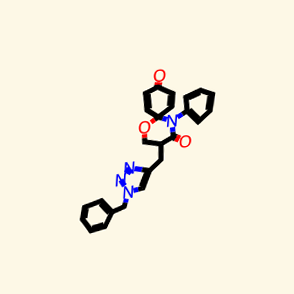 O=C1C=CC2(C=C1)OCC(Cc1cn(Cc3ccccc3)nn1)C(=O)N2c1ccccc1